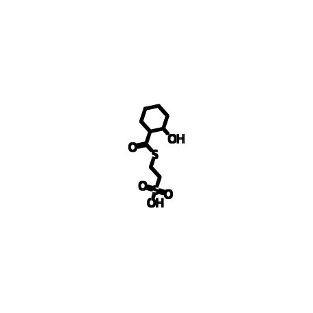 O=C(SCCS(=O)(=O)O)C1CCCCC1O